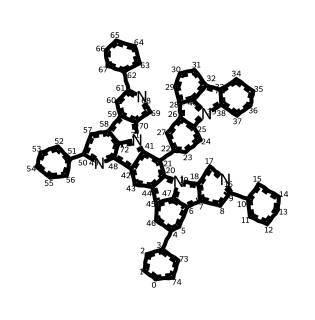 c1ccc(-c2cc3c4cc(-c5ccccc5)ncc4n4c5c(-c6ccc7c(c6)c6cccc8c9ccccc9n7c86)c6c(cc5c(c2)c34)c2nc(-c3ccccc3)cc3c4cc(-c5ccccc5)ncc4n6c32)cc1